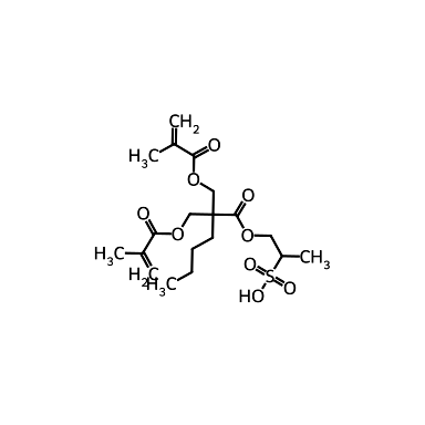 C=C(C)C(=O)OCC(CCCC)(COC(=O)C(=C)C)C(=O)OCC(C)S(=O)(=O)O